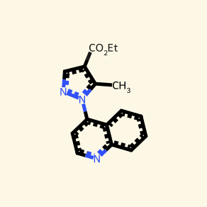 CCOC(=O)c1cnn(-c2ccnc3ccccc23)c1C